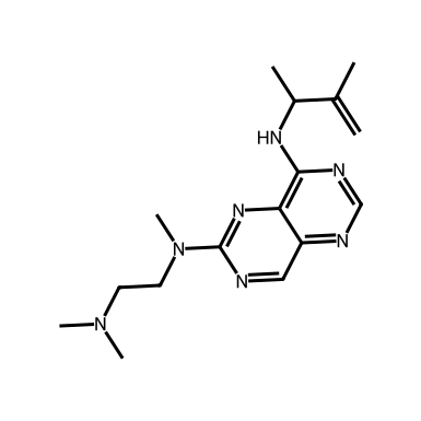 C=C(C)C(C)Nc1ncnc2cnc(N(C)CCN(C)C)nc12